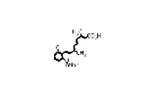 CCCCCCCCCOc1cccc(Cl)c1C=CC(C)=CC=CC(C)=CC(=O)O